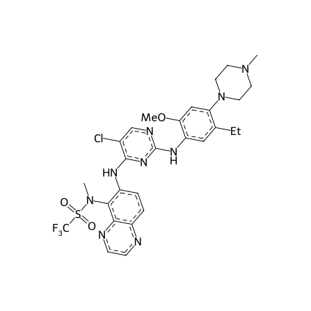 CCc1cc(Nc2ncc(Cl)c(Nc3ccc4nccnc4c3N(C)S(=O)(=O)C(F)(F)F)n2)c(OC)cc1N1CCN(C)CC1